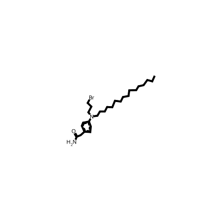 CCCCCCCCCCCCCCCCN(CCCBr)c1ccc(CC(N)=O)cc1